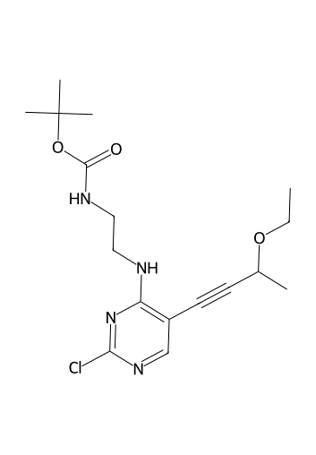 CCOC(C)C#Cc1cnc(Cl)nc1NCCNC(=O)OC(C)(C)C